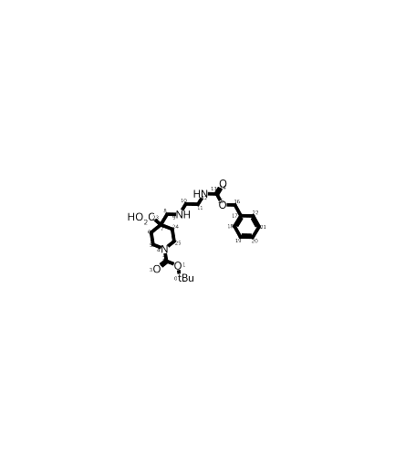 CC(C)(C)OC(=O)N1CCC(CNCCNC(=O)OCc2ccccc2)(C(=O)O)CC1